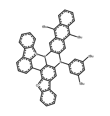 CC(C)(C)c1cc(N2c3cc4c(C(C)(C)C)c5ccccc5c(C(C)(C)C)c4cc3B3c4c2cc2c(oc5ccccc52)c4-c2cccc4c5ccccc5n3c24)cc(C(C)(C)C)c1